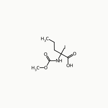 CCCC(I)(NC(=O)OC)C(=O)O